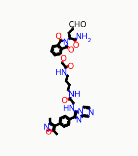 Cc1noc(C)c1-c1ccc(-c2nc3cnccn3c2NCC(=O)NCCCCNC(=O)COc2cccc3c2C(=O)N(C(CCC=O)C(N)=O)C3=O)cc1